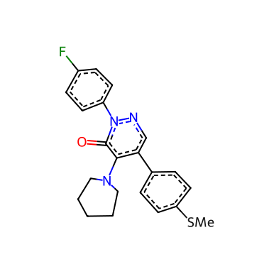 CSc1ccc(-c2cnn(-c3ccc(F)cc3)c(=O)c2N2CCCCC2)cc1